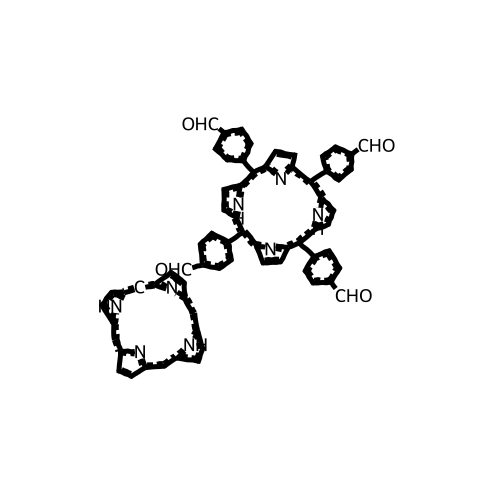 C1=Cc2cc3ccc(cc4nc(cc5ccc(cc1n2)[nH]5)C=C4)[nH]3.O=Cc1ccc(-c2c3nc(c(-c4ccc(C=O)cc4)c4ccc([nH]4)c(-c4ccc(C=O)cc4)c4nc(c(-c5ccc(C=O)cc5)c5ccc2[nH]5)C=C4)C=C3)cc1